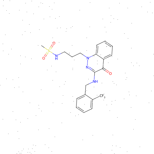 CS(=O)(=O)NCCCn1nc(NCc2ccccc2C(F)(F)F)c(=O)c2ccccc21